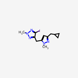 Cn1nc(I)c(Cc2cc(CC3CC3)nn2C)n1